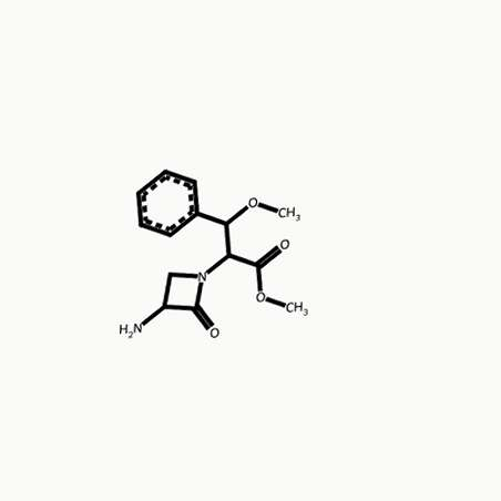 COC(=O)C(C(OC)c1ccccc1)N1CC(N)C1=O